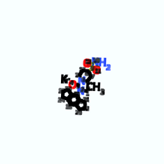 CCN(C(=O)N1CCC(S(N)(=O)=O)CC1)c1c2c(cc3c1CCC3)CCC2.[K]